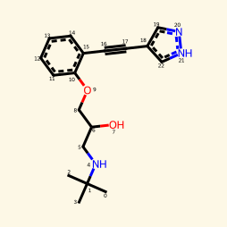 CC(C)(C)NCC(O)COc1ccccc1C#Cc1cn[nH]c1